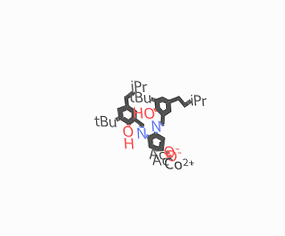 CC(=O)[O-].CC(=O)[O-].CC(C)CCc1cc(C=Nc2ccccc2N=Cc2cc(CCC(C)C)cc(C(C)(C)C)c2O)c(O)c(C(C)(C)C)c1.[Co+2]